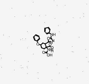 O=C(O)NC1(C(=O)O)CCC(Oc2ccccc2)CC1c1nnc(Nc2ccccc2)o1